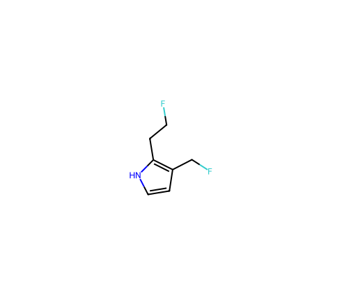 FCCc1[nH]ccc1CF